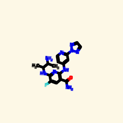 CC(N)C(C)Nc1nc(Nc2ccnc(-n3nccn3)c2)c(C(N)=O)cc1F